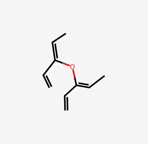 C=C/C(=C/C)O/C(C=C)=C\C